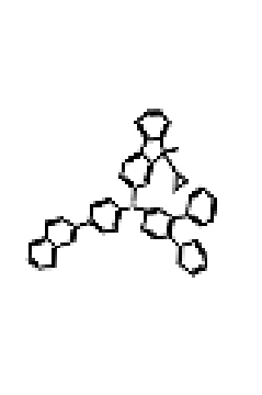 CC1(C2CC2)c2ccccc2-c2ccc(N(c3ccc(-c4ccc5ccccc5c4)cc3)c3ccc(-c4ccccc4)c(-c4ccccc4)c3)cc21